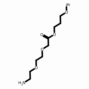 CC(C)OCCCOC(=O)COCCOCCN